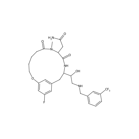 CN1C(=O)CCCCOc2cc(F)cc(c2)CC(C(O)CNCc2cccc(C(F)(F)F)c2)NC(=O)C1CC(N)=O